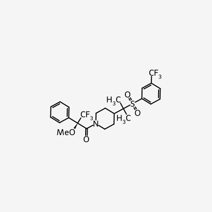 CO[C@@](C(=O)N1CCC(C(C)(C)S(=O)(=O)c2cccc(C(F)(F)F)c2)CC1)(c1ccccc1)C(F)(F)F